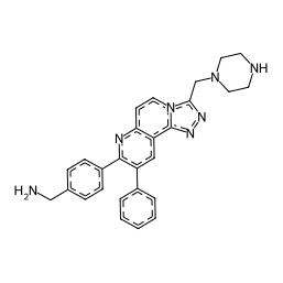 NCc1ccc(-c2nc3ccn4c(CN5CCNCC5)nnc4c3cc2-c2ccccc2)cc1